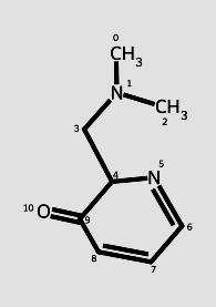 CN(C)CC1N=CC=CC1=O